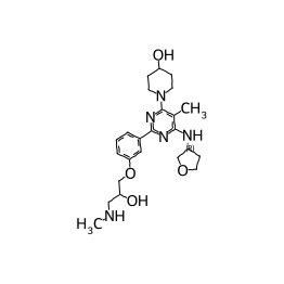 CNCC(O)COc1cccc(-c2nc(N[C@@H]3CCOC3)c(C)c(N3CCC(O)CC3)n2)c1